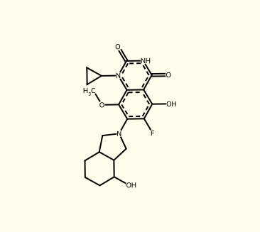 COc1c(N2CC3CCCC(O)C3C2)c(F)c(O)c2c(=O)[nH]c(=O)n(C3CC3)c12